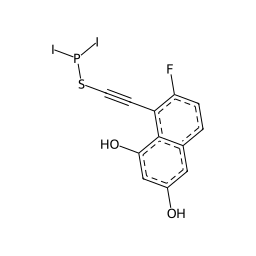 Oc1cc(O)c2c(C#CSP(I)I)c(F)ccc2c1